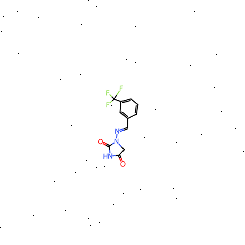 O=C1CN(N=Cc2cccc(C(F)(F)F)c2)C(=O)N1